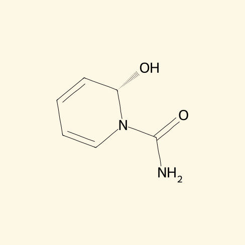 NC(=O)N1C=CC=C[C@@H]1O